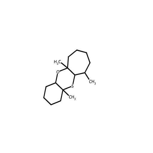 CC1CCCCC2(C)OC3CCCCC3(C)SC12